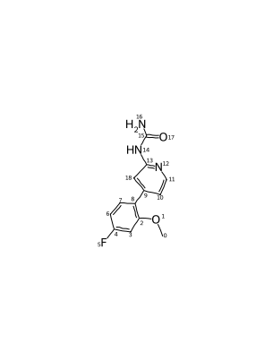 COc1cc(F)ccc1-c1ccnc(NC(N)=O)c1